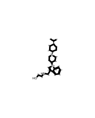 CC(C)[C@H]1CC[C@@H](N2CCC(n3cc(CNCCO)c4ccccc43)CC2)CC1